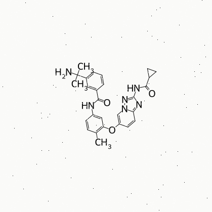 Cc1ccc(NC(=O)c2cccc(C(C)(C)N)c2)cc1Oc1ccc2nc(NC(=O)C3CC3)nn2c1